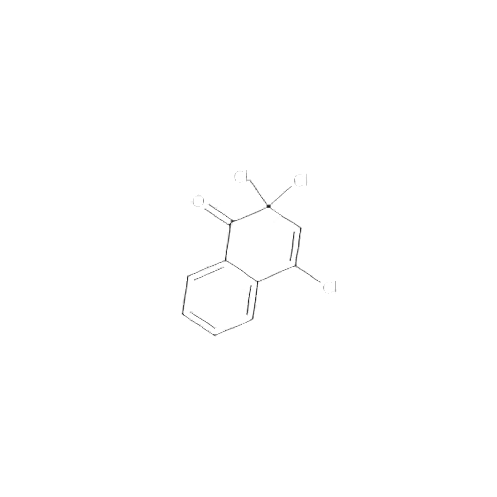 O=C1c2ccccc2C(Cl)=CC1(Cl)Cl